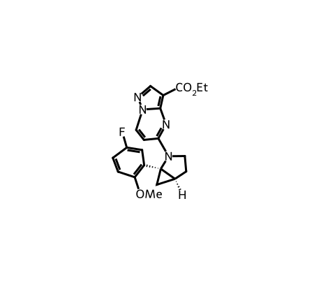 CCOC(=O)c1cnn2ccc(N3CC[C@H]4C[C@]43c3cc(F)ccc3OC)nc12